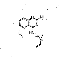 C=C[C@@H]1C[C@H]1Nc1nc(N)nc2cccnc12.CO